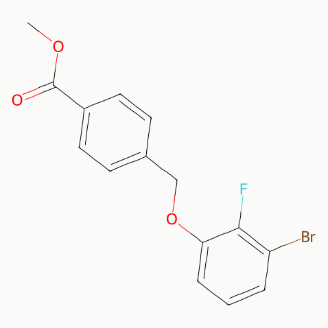 COC(=O)c1ccc(COc2cccc(Br)c2F)cc1